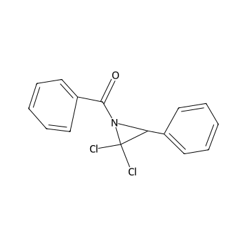 O=C(c1ccccc1)N1C(c2ccccc2)C1(Cl)Cl